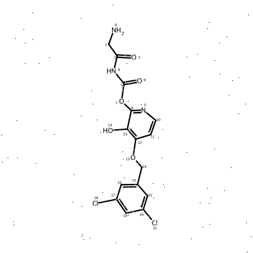 NCC(=O)NC(=O)Oc1nccc(OCc2cc(Cl)cc(Cl)c2)c1O